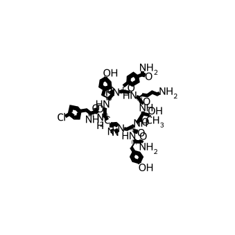 CC(O)C1NC(=O)[C@H](CCCCN)NC(=O)[C@@H](Cc2ccc(C(N)=O)cc2)NC(=O)[C@H](Cc2ccc(O)cc2)NC(=O)[C@H](NC(=O)[C@@H](N)Cc2ccc(Cl)cc2)Cc2cn(nn2)C[C@@H](C(=O)N[C@H](Cc2ccc(O)cc2)C(N)=O)NC1=O